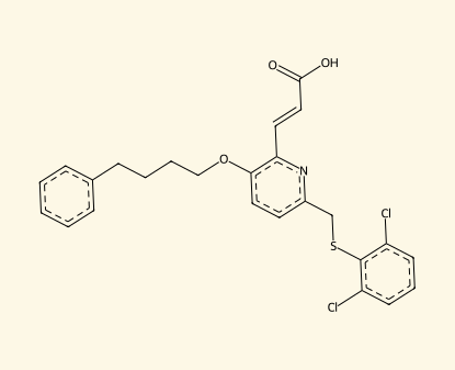 O=C(O)/C=C/c1nc(CSc2c(Cl)cccc2Cl)ccc1OCCCCc1ccccc1